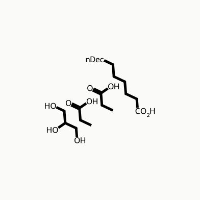 CCC(=O)O.CCC(=O)O.CCCCCCCCCCCCCCCC(=O)O.OCC(O)CO